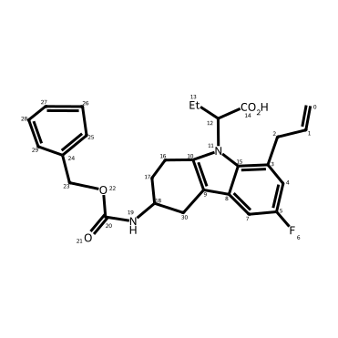 C=CCc1cc(F)cc2c3c(n(C(CC)C(=O)O)c12)CCC(NC(=O)OCc1ccccc1)C3